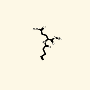 C=CCCC(=O)NC(CCC(=O)SC)C(=O)OC(C)(C)C